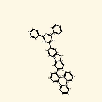 c1ccc(-c2nc(-c3ccccc3)nc(-c3ccc4c(c3)sc3ccc(-c5cccc6c7ccccc7c7ccccc7c56)cc34)n2)cc1